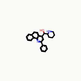 OC(c1cc(-c2ccccc2)nc2c1ccc1ccccc12)C1CCCCN1